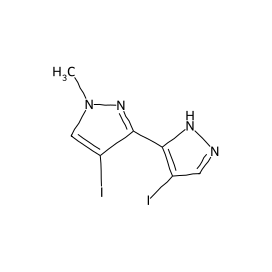 Cn1cc(I)c(-c2[nH]ncc2I)n1